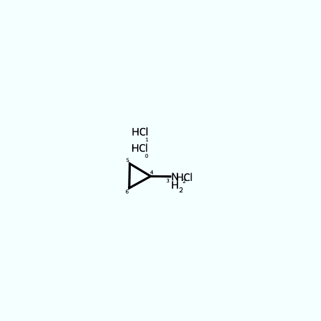 Cl.Cl.Cl.NC1CC1